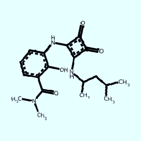 CC(C)CC(C)Nc1c(Nc2cccc(C(=O)N(C)C)c2O)c(=O)c1=O